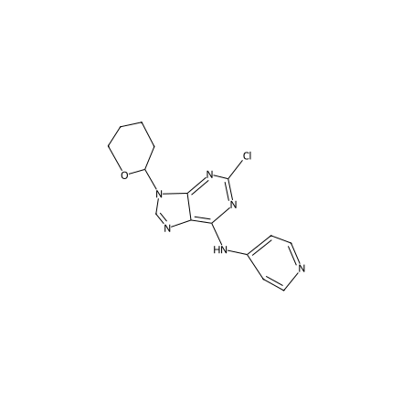 Clc1nc(Nc2ccncc2)c2ncn(C3CCCCO3)c2n1